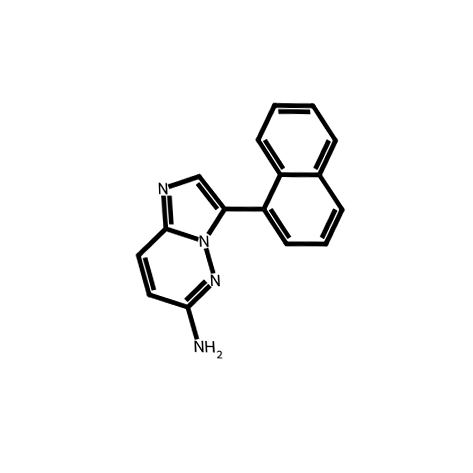 Nc1ccc2ncc(-c3cccc4ccccc34)n2n1